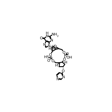 Nc1nc2c(ncn2[C@@H]2OC3COP(=O)(O)O[C@H]4C[C@H](Oc5ccncn5)C[C@@H]4COP(=O)(S)O[C@@H]2[C@@H]3O)c(=O)[nH]1